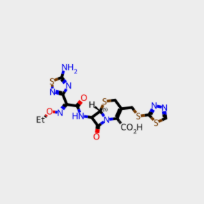 CCON=C(C(=O)NC1C(=O)N2C(C(=O)O)=C(CSc3nncs3)CS[C@@H]12)c1nsc(N)n1